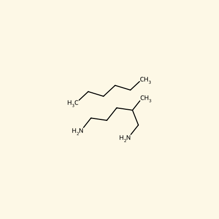 CC(CN)CCCN.CCCCCC